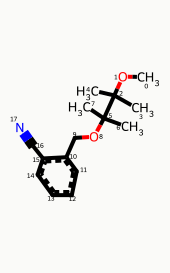 COC(C)(C)C(C)(C)OCc1ccccc1C#N